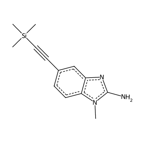 Cn1c(N)nc2cc(C#C[Si](C)(C)C)ccc21